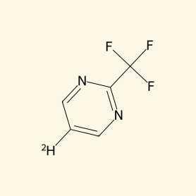 [2H]c1cnc(C(F)(F)F)nc1